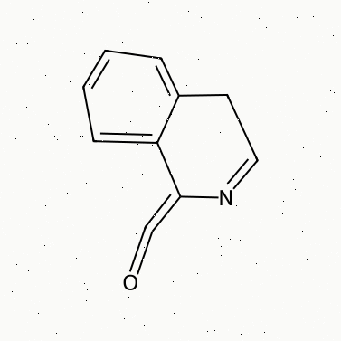 O=C=C1N=CCc2ccccc21